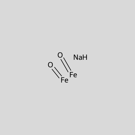 [NaH].[O]=[Fe].[O]=[Fe]